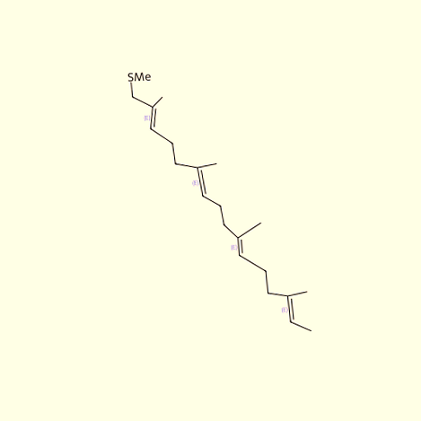 C/C=C(\C)CC/C=C(\C)CC/C=C(\C)CC/C=C(\C)CSC